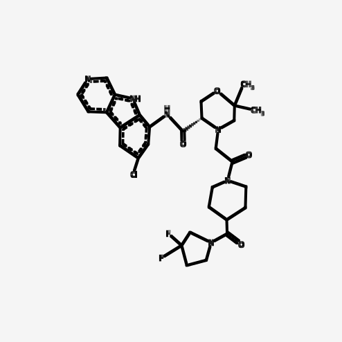 CC1(C)CN(CC(=O)N2CCC(C(=O)N3CCC(F)(F)C3)CC2)[C@H](C(=O)Nc2cc(Cl)cc3c2[nH]c2cnccc23)CO1